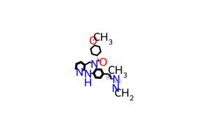 C=N/C=N\C=C(/C)c1ccc2c(c1)N(C(=O)[C@H]1CC[C@H](OC)CC1)Cc1cccnc1N2